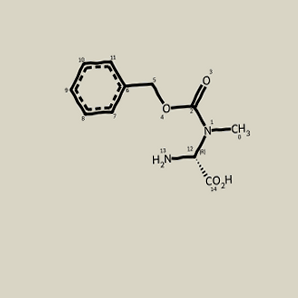 CN(C(=O)OCc1ccccc1)[C@@H](N)C(=O)O